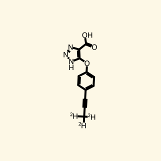 [2H]C([2H])([2H])C#Cc1ccc(Oc2[nH]nnc2C(=O)O)cc1